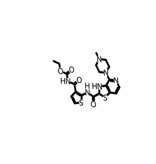 CCOC(=O)NC(=O)c1ccsc1NC(=O)C1Nc2c(ccnc2N2CCN(C)CC2)S1